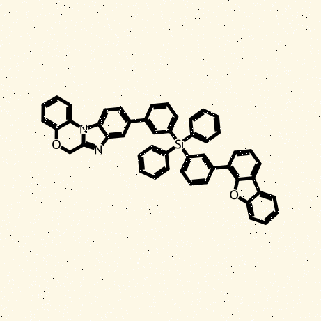 c1ccc([Si](c2ccccc2)(c2cccc(-c3ccc4c(c3)nc3n4-c4ccccc4OC3)c2)c2cccc(-c3cccc4c3oc3ccccc34)c2)cc1